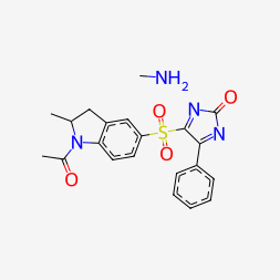 CC(=O)N1c2ccc(S(=O)(=O)C3=NC(=O)N=C3c3ccccc3)cc2CC1C.CN